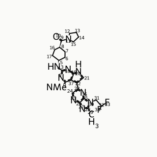 CNc1nc(N[C@H]2CC[C@H](C(=O)N3CCCC3)CC2)nc2[nH]cc(-c3cnc4nc(C)n(CC(F)F)c4n3)c12